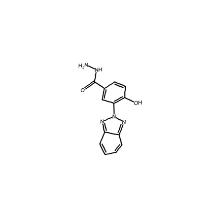 NNC(=O)c1ccc(O)c(-n2nc3ccccc3n2)c1